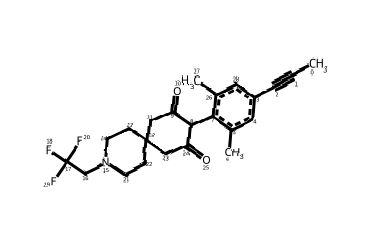 CC#Cc1cc(C)c(C2C(=O)CC3(CCN(CC(F)(F)F)CC3)CC2=O)c(C)c1